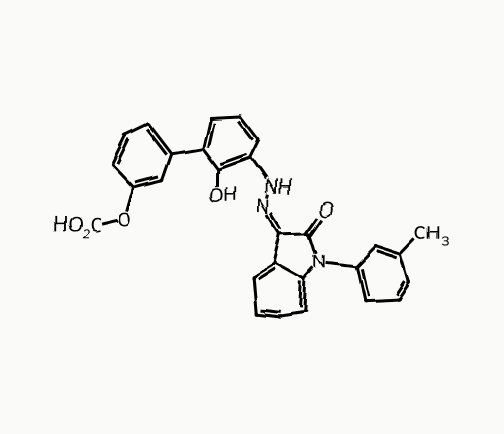 Cc1cccc(N2C(=O)C(=NNc3cccc(-c4cccc(OC(=O)O)c4)c3O)c3ccccc32)c1